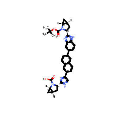 CC(C)(C)OC(=O)N1[C@@H]2C[C@H]2C[C@H]1c1nc2cc(-c3ccc4cc(-c5c[nH]c([C@@H]6C[C@H]7C[C@H]7N6C(=O)O)n5)ccc4c3)ccc2[nH]1